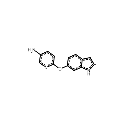 Nc1ccc(Oc2ccc3c[c][nH]c3c2)nc1